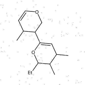 CCC1OC(C2COC=CC2C)=CC(C)C1C